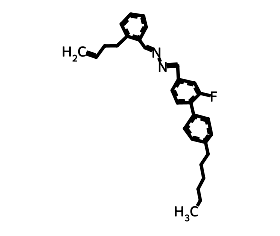 C=CCCc1ccccc1C=NN=Cc1ccc(-c2ccc(CCCCCC)cc2)c(F)c1